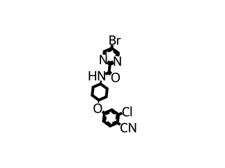 N#Cc1ccc(O[C@H]2CC[C@H](NC(=O)c3ncc(Br)cn3)CC2)cc1Cl